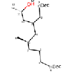 CCCCCCCCCCCCC[C@@H](C)CC(CCCCCCCCCCC)C[C@H](C)O